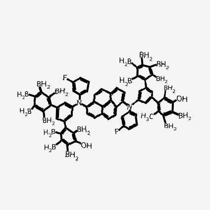 Bc1c(B)c(B)c(-c2cc(-c3c(B)c(B)c(B)c(O)c3B)cc(N(c3cccc(F)c3)c3ccc4ccc5c(N(c6cccc(F)c6)c6cc(-c7c(B)c(B)c(B)c(B)c7B)cc(-c7c(B)c(O)c(B)c(B)c7C)c6)ccc6ccc3c4c65)c2)c(B)c1B